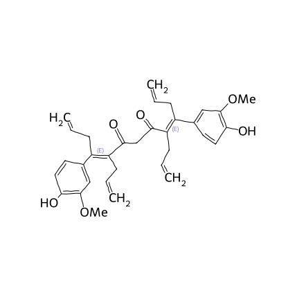 C=CC/C(C(=O)CC(=O)/C(CC=C)=C(\CC=C)c1ccc(O)c(OC)c1)=C(/CC=C)c1ccc(O)c(OC)c1